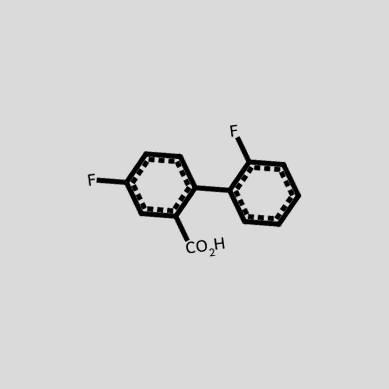 O=C(O)c1cc(F)ccc1-c1ccccc1F